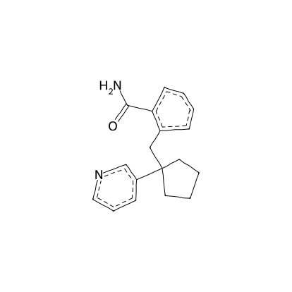 NC(=O)c1ccccc1CC1(c2cccnc2)CCCC1